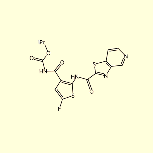 CC(C)OC(=O)NC(=O)c1cc(F)sc1NC(=O)c1nc2cnccc2s1